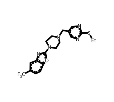 CCSc1ncc(CN2CCN(c3nc4cc(C(F)(F)F)ccc4o3)CC2)cn1